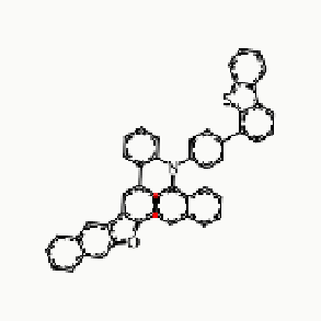 c1ccc(N(c2ccc(-c3cccc4c3sc3ccccc34)cc2)c2cccc3ccccc23)c(-c2ccc3oc4cc5ccccc5cc4c3c2)c1